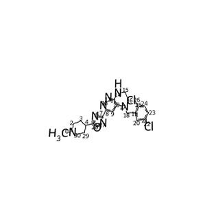 CN1CCC(c2nc(-c3cc4c(nn3)NCCN4Cc3cc(Cl)ccc3Cl)no2)CC1